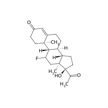 CC(=O)[C@@]1(O)CC[C@H]2[C@@H]3CCC4=CC(=O)CC[C@]4(C)[C@H]3C(F)C[C@@]21C